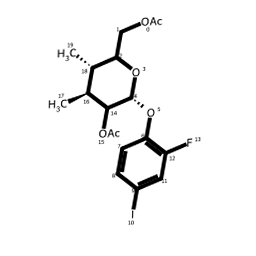 CC(=O)OCC1O[C@H](Oc2ccc(I)cc2F)C(OC(C)=O)[C@@H](C)[C@@H]1C